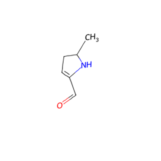 CC1CC=C(C=O)N1